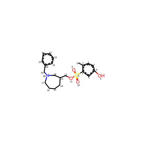 Cc1ccc(O)cc1S(=O)(=O)OCC1CCCCN(Cc2ccccc2)C1